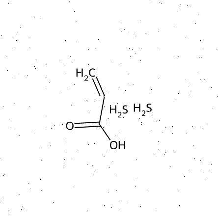 C=CC(=O)O.S.S